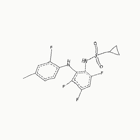 Cc1ccc(Nc2c(F)c(F)cc(F)c2NS(=O)(=O)C2CC2)c(F)c1